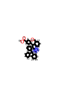 COC(=O)c1ccc2c(c1)OCc1ccccc1C2Cc1nnnn1C(c1ccccc1)(c1ccccc1)c1ccccc1